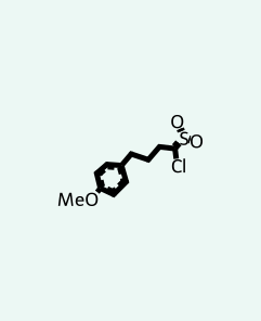 COc1ccc(CCCC(Cl)=S(=O)=O)cc1